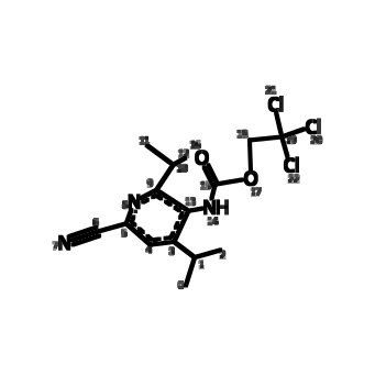 CC(C)c1cc(C#N)nc(C(C)C)c1NC(=O)OCC(Cl)(Cl)Cl